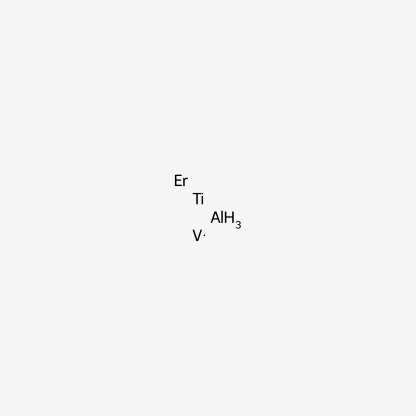 [AlH3].[Er].[Ti].[V]